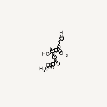 COc1cc2c(N3CCN(N(C=O)c4ccc(OC(C)C)cc4)CC3)c(CO)cnc2cc1OCCCC1CCCNC1